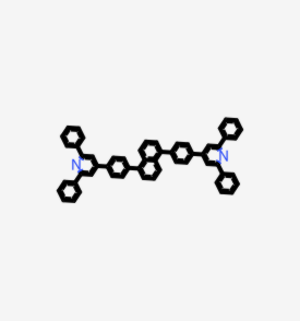 c1ccc(-c2cc(-c3ccc(-c4cccc5c(-c6ccc(-c7cc(-c8ccccc8)nc(-c8ccccc8)c7)cc6)cccc45)cc3)cc(-c3ccccc3)n2)cc1